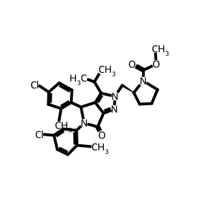 COC(=O)N1CCC[C@H]1Cn1nc2c(c1C(C)C)C(c1ccc(Cl)cc1C)N(c1cc(Cl)ccc1C)C2=O